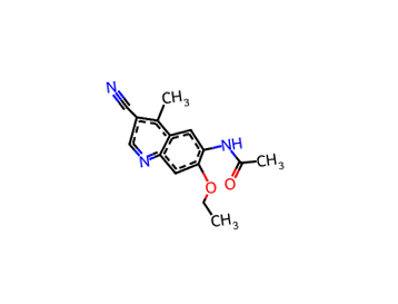 CCOc1cc2ncc(C#N)c(C)c2cc1NC(C)=O